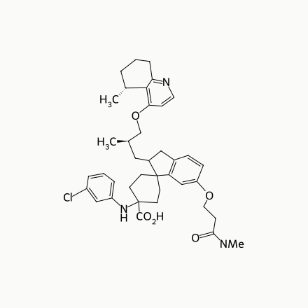 CNC(=O)CCOc1ccc2c(c1)C1(CCC(Nc3cccc(Cl)c3)(C(=O)O)CC1)C(C[C@@H](C)COc1ccnc3c1[C@H](C)CCC3)C2